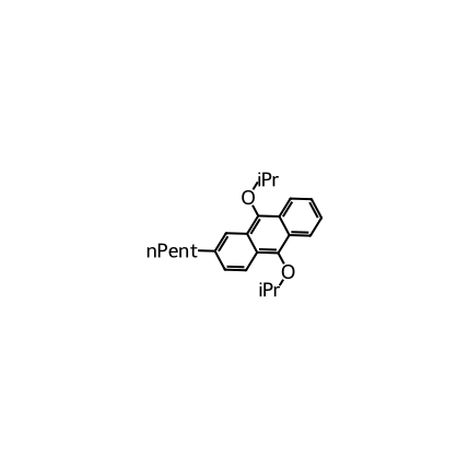 CCCCCc1ccc2c(OC(C)C)c3ccccc3c(OC(C)C)c2c1